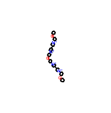 c1ccc(Oc2cccc(-[n+]3ccc(-c4cc[n+](-c5ccc(Oc6ccc(-[n+]7ccc(-c8cc[n+](-c9cccc(Oc%10ccccc%10)c9)cc8)cc7)cc6)cc5)cc4)cc3)c2)cc1